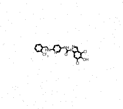 O=C(Nc1ccc(NCc2ccccc2C(F)(F)F)nc1)n1ncc2c(Cl)c(O)c(Cl)cc21